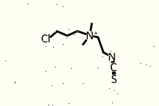 C[N+](C)(CCCCl)CCN=C=S